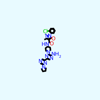 Cc1c(C(=O)NC2CCN(c3nc(-c4cncc(N5CCCC5)n4)cnc3N)CC2)c(=O)n(-c2ccccc2Cl)n1C